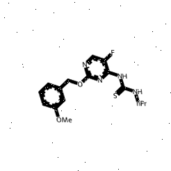 CCCNC(=S)Nc1nc(OCc2cccc(OC)c2)ncc1F